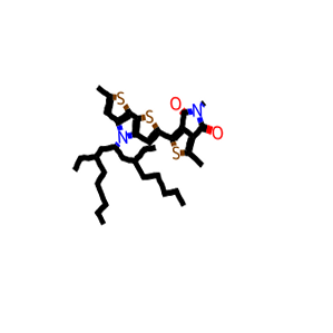 CCCCCC(CC)CC(CC(CC)CCCCC)n1c2cc(C)sc2c2sc(-c3sc(C)c4c3C(=O)N(C)C4=O)cc21